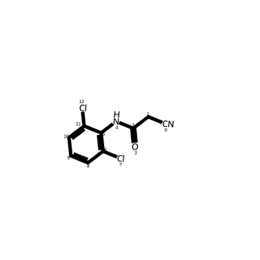 N#CCC(=O)Nc1c(Cl)cccc1Cl